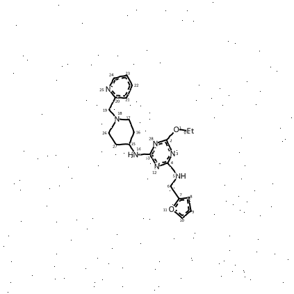 CCOc1nc(NCc2ccco2)nc(NC2CCN(Cc3ccccn3)CC2)n1